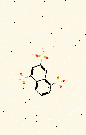 O=S(=O)([O-])c1cc(S(=O)(=O)[O-])c2cccc(S(=O)(=O)[O-])c2c1.[K+].[K+].[K+]